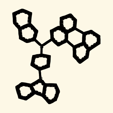 c1ccc(-c2cccc3cccc(-c4cccc(N(c5ccc(-n6c7ccccc7c7ccccc76)cc5)c5ccc6ccccc6c5)c4)c23)cc1